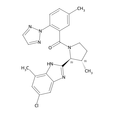 Cc1ccc(-n2nccn2)c(C(=O)N2CC[C@H](C)[C@H]2c2nc3cc(Cl)cc(C)c3[nH]2)c1